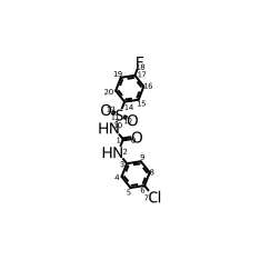 O=C(Nc1ccc(Cl)cc1)NS(=O)(=O)c1ccc(F)cc1